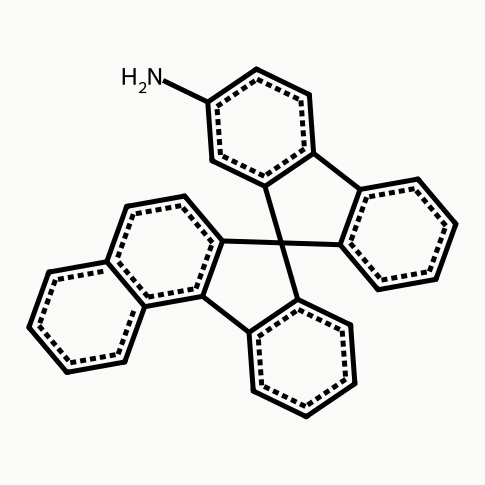 Nc1ccc2c(c1)C1(c3ccccc3-2)c2ccccc2-c2c1ccc1ccccc21